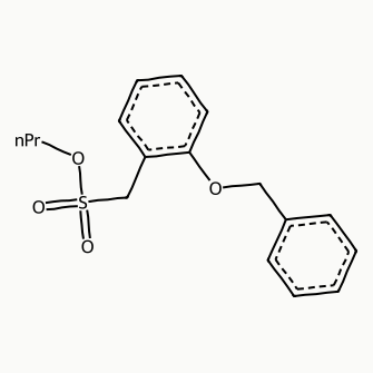 CCCOS(=O)(=O)Cc1ccccc1OCc1ccccc1